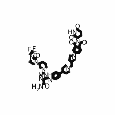 NC(=O)c1nnc(N2CCCC(N3CCN(CC(F)(F)F)C3=O)C2)nc1Nc1ccc(C2CCN(CC3CCN(c4ccc5c(c4)C(=O)N(C4CCC(=O)NC4=O)C5=O)C3)CC2)cc1